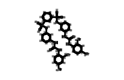 CC(C)c1ccc(NC(=O)Nc2cccc(OS(=O)(=O)c3cccc(S(=O)(=O)Oc4cccc(NC(=O)Nc5ccc(C(C)C)cc5C(C)C)c4)c3)c2)c(C(C)C)c1